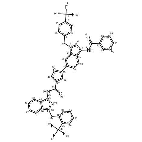 O=C(Nc1nn(Cc2ccc(C(F)(F)F)cc2)c2cc(-c3cc(C(=O)Nc4nn(Cc5ccccc5C(F)(F)F)c5ccccc45)co3)ccc12)c1cncnc1